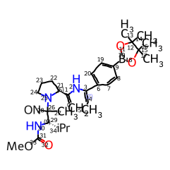 C=C(N/C(=C\C)c1ccc(B2OC(C)(C)C(C)(C)O2)cc1)[C@@H]1CCCN1C(C)(N=O)[C@@H](NC(=O)OC)C(C)C